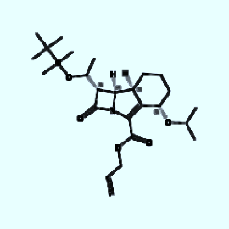 C=CCOC(=O)C1=C2[C@@H](OC(C)C)CCC[C@@H]2[C@@H]2[C@@H](C(C)O[Si](C)(C)C(C)(C)C)C(=O)N12